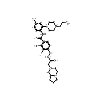 O=C(CN1CCN2CCCC2C1)NCc1ccc(C(=O)Nc2ccc(Cl)cc2N2CCN(CCC(F)(F)F)CC2)c(F)c1F